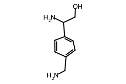 NCc1ccc(C(N)CO)cc1